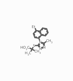 CCc1ccc(-n2c(C)nnc2SC(C)(C)C(=O)O)c2ccccc12